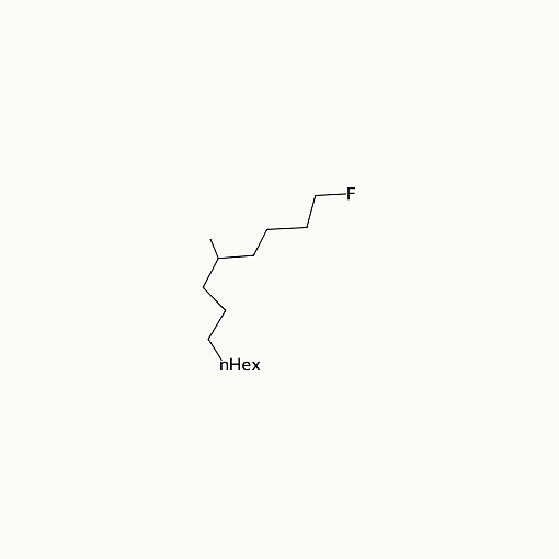 CCCCCCCCCC(C)CCCCF